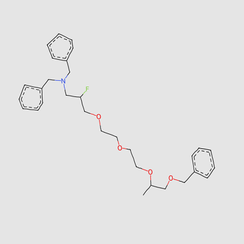 CC(COCc1ccccc1)OCCOCCOCC(F)CN(Cc1ccccc1)Cc1ccccc1